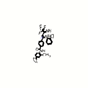 Cc1cc(Cl)ccc1NC(=O)c1ccc(/C(=C/C(=N)C(F)(F)F)Nc2ccccc2Cl)cc1